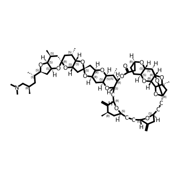 C=C1C[C@@H]2CC[C@@]34C[C@]5(C)O[C@H]6[C@@H](O3)[C@H]3O[C@H](CC[C@@H]3O[C@H]6C5O4)CC(=O)O[C@@H]3[C@@H](C)[C@@H]4O[C@@H]5C[C@]6(C[C@@H]7O[C@]8(C[C@H](C)[C@@H]9O[C@H]([C@@H](C)C[C@@H](C)CN(C)C)C[C@@H]9O8)C[C@H](C)[C@@H]7O6)O[C@@H]5C[C@@H]4O[C@H]3C[C@H]3O[C@@H](CC[C@@H]1O2)C[C@@H](C)C3=C